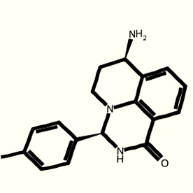 N[C@@H]1CCN2c3c(cccc31)C(=O)N[C@H]2c1ccc(F)cc1